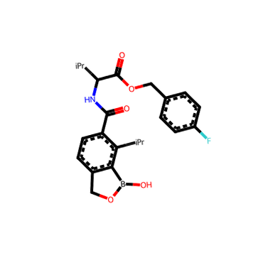 CC(C)c1c(C(=O)NC(C(=O)OCc2ccc(F)cc2)C(C)C)ccc2c1B(O)OC2